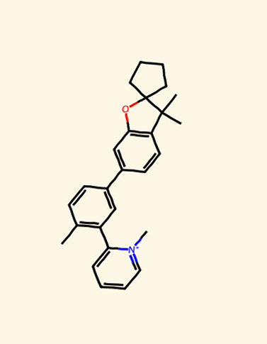 Cc1ccc(-c2ccc3c(c2)OC2(CCCC2)C3(C)C)cc1-c1cccc[n+]1C